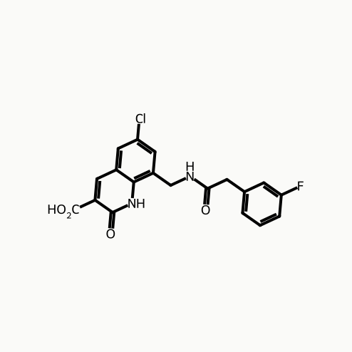 O=C(Cc1cccc(F)c1)NCc1cc(Cl)cc2cc(C(=O)O)c(=O)[nH]c12